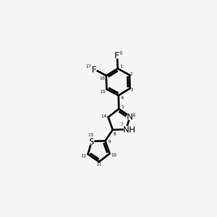 Fc1ccc(C2=NNC(c3cccs3)C2)cc1F